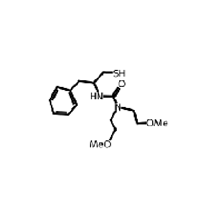 COCCN(CCOC)C(=O)NC(CS)Cc1ccccc1